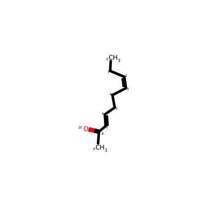 CC/C=C\CC/C=C/C(C)=O